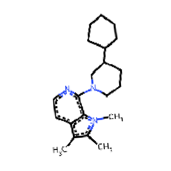 Cc1c(C)n(C)c2c(N3CCCC(C4CCCCC4)C3)nccc12